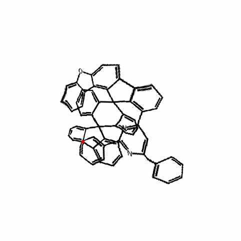 c1ccc(-c2cc(-c3cccc4c3C3(c5ccccc5C5(c6ccccc6-c6ccccc65)c5ccccc53)c3c-4ccc4oc5ccccc5c34)nc(-c3ccccc3)n2)cc1